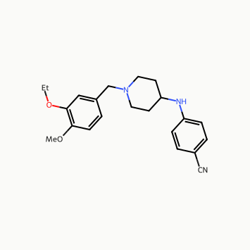 CCOc1cc(CN2CCC(Nc3ccc(C#N)cc3)CC2)ccc1OC